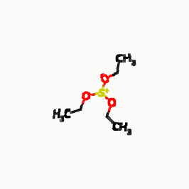 CCO[S+](OCC)OCC